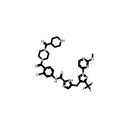 COc1nccc(-n2cc(Cc3cnc(C(=O)Nc4ccc(C(=O)N5CCN(C(=O)C6CCNCC6)CC5)c(Cl)c4)[nH]3)c(C(F)(F)F)n2)n1